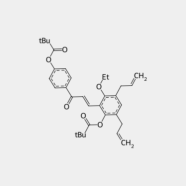 C=CCc1cc(CC=C)c(OC(=O)C(C)(C)C)c(C=CC(=O)c2ccc(OC(=O)C(C)(C)C)cc2)c1OCC